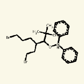 CC(C)(C)C(O[SiH](c1ccccc1)c1ccccc1)C(CCBr)CCCBr